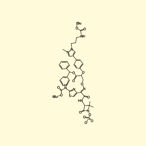 C[n+]1cc(-c2ccc(OC(CON=C(C(=O)NC3C(=O)N(OS(=O)(=O)[O-])C3(C)C)c3csc(NC(=O)OC(C)(C)C)n3)C(=O)OC(c3ccccc3)c3ccccc3)cc2)cn1CCCNC(=O)OC(C)(C)C